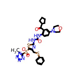 Cn1nnnc1S(=O)(=O)c1sc(NC(=O)Nc2ccc(N3CCOCC3)cc2C(=O)C2CCCC2)nc1CSc1ccccc1